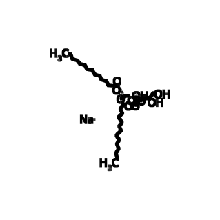 CCCCCCCCCCCCCC(=O)OC[C@H](COP(=O)(O)OC[C@H](O)CO)OC(=O)CCCCCCCCCCCCC.[Na]